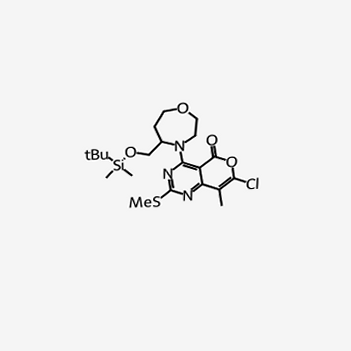 CSc1nc(N2CCOCCC2CO[Si](C)(C)C(C)(C)C)c2c(=O)oc(Cl)c(C)c2n1